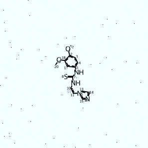 COc1ccc(NC(=S)N/C=C\n2ccnc2)cc1OC